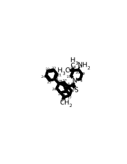 C=C1C2CC3(C(=S)N4CC[C@H](N)C(C)(C)C4)CC1CC(c1ccccc1)(C2)C3